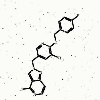 Cc1cc(Cn2cc3c(Cl)nccc3n2)cnc1OCc1ccc(F)cc1